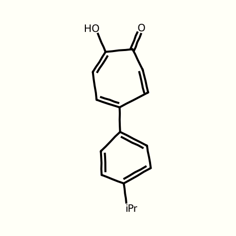 CC(C)c1ccc(-c2ccc(O)c(=O)cc2)cc1